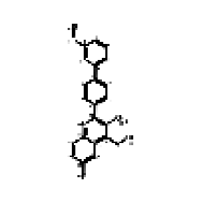 CCOc1cccc(-c2ccc(-c3nc4ccc(F)cc4c(CO)c3C)cc2)c1